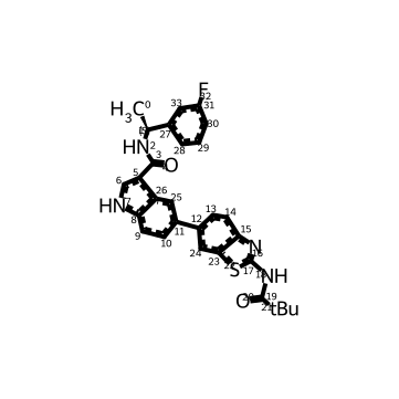 C[C@H](NC(=O)c1c[nH]c2ccc(-c3ccc4nc(NC(=O)C(C)(C)C)sc4c3)cc12)c1cccc(F)c1